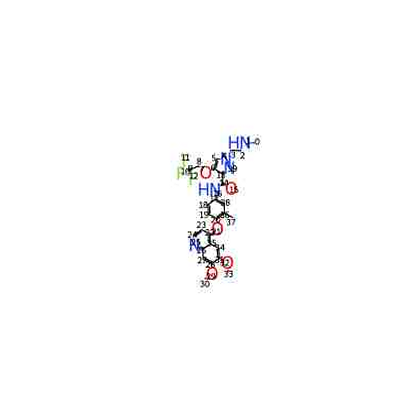 CNCCn1cc(OCC(F)(F)F)c(C(=O)Nc2ccc(Oc3ccnc4cc(OC)c(OC)cc34)c(C)c2)n1